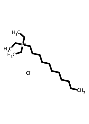 CCCCCCCCCCC[P+](CC)(CC)CC.[Cl-]